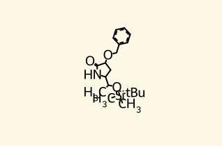 CC(O[Si](C)(C)C(C)(C)C)C1CC(OCc2ccccc2)C(=O)N1